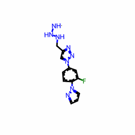 [NH]NNCc1cn(-c2ccc(-n3cccn3)c(F)c2)nn1